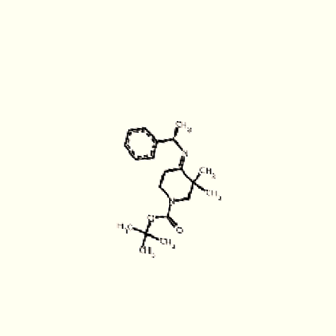 C[C@@H](N=C1CCN(C(=O)OC(C)(C)C)CC1(C)C)c1ccccc1